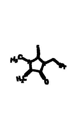 C=C1C(=O)N(CC(C)C)C(=S)N1C